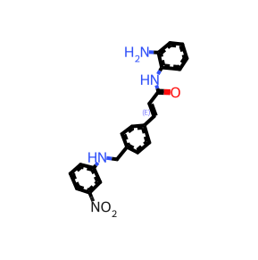 Nc1ccccc1NC(=O)/C=C/c1ccc(CNc2cccc([N+](=O)[O-])c2)cc1